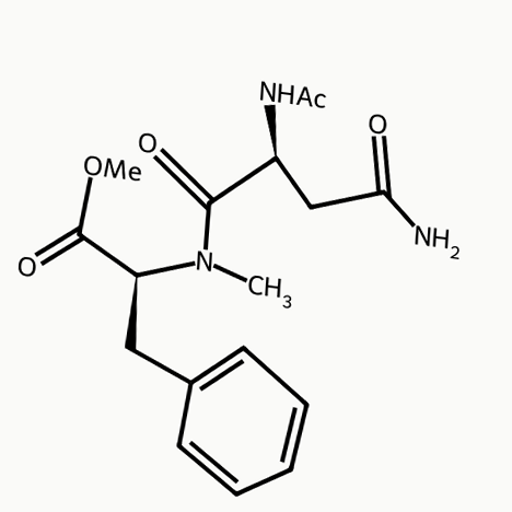 COC(=O)[C@H](Cc1ccccc1)N(C)C(=O)[C@H](CC(N)=O)NC(C)=O